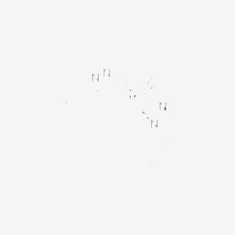 Cn1nc2c(c1-c1ccccc1)CCN(C(=O)c1ncn(-c3ccccc3)n1)C2